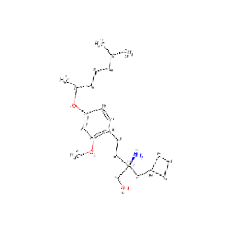 COc1cc(OC(C)CCCC(C)C)ccc1CC[C@@](N)(CO)CC1CCC1